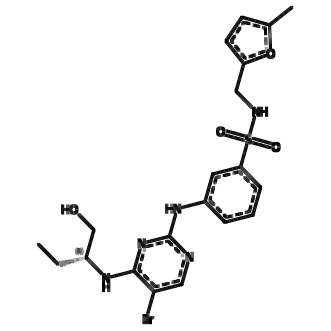 CC[C@H](CO)Nc1nc(Nc2cccc(S(=O)(=O)NCc3ccc(C)o3)c2)ncc1Br